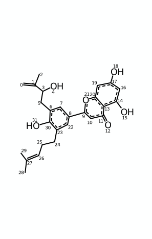 C=C(C)C(O)Cc1cc(-c2cc(=O)c3c(O)cc(O)cc3o2)cc(CCC=C(C)C)c1O